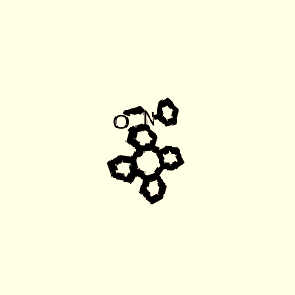 c1ccc(-n2ccoc3cc4c5ccccc5c5ccccc5c5ccccc5c4cc32)cc1